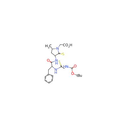 CC1CC(NC(=O)C(Cc2ccccc2)NC(=S)CNC(=O)OC(C)(C)C)C(=S)N1CC(=O)O